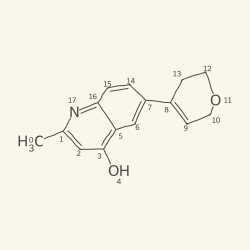 Cc1cc(O)c2cc(C3=CCOCC3)ccc2n1